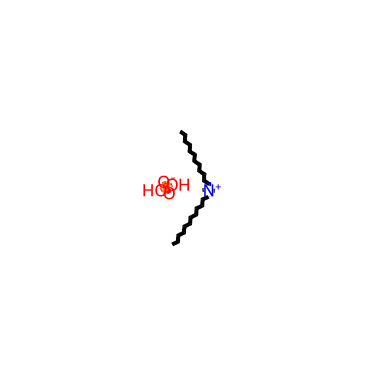 CCCCCCCCCCCC[N+](C)(C)CCCCCCCCCCCC.O=P([O-])(O)O